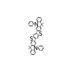 CC1(C)c2ccccc2N(c2ccccc2)c2cc3c(cc21)sc1cc2c(cc13)sc1cc3c(cc12)N(c1ccccc1)c1ccccc1C3(C)C